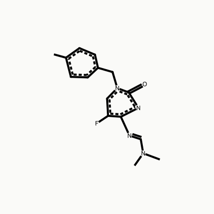 Cc1ccc(Cn2cc(F)c(N=CN(C)C)nc2=O)cc1